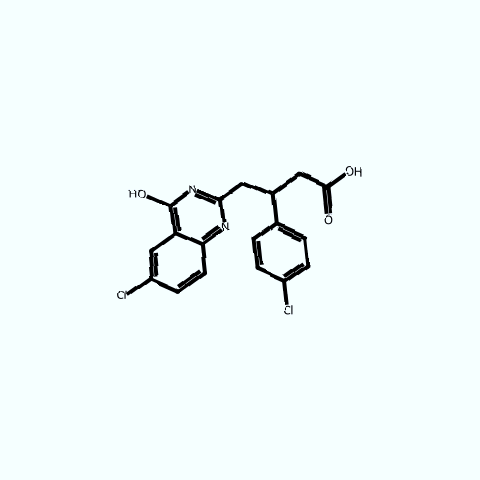 O=C(O)CC(Cc1nc(O)c2cc(Cl)ccc2n1)c1ccc(Cl)cc1